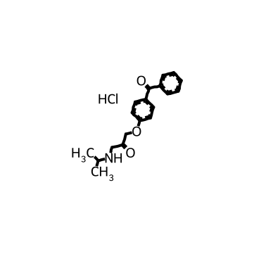 CC(C)NCC(=O)COc1ccc(C(=O)c2ccccc2)cc1.Cl